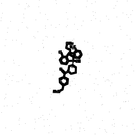 CNCc1ccc(C(=O)N2CCC[C@@H](C(O)(CCCCOC)c3cccc(Cl)c3Cc3ccccc3C)C2)cc1